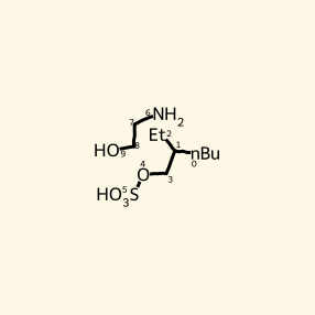 CCCCC(CC)COS(=O)(=O)O.NCCO